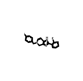 Fc1ccccc1-c1nc2c([nH]1)C=CN(Cc1ccc(I)cc1)C2